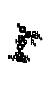 CC(C)(C)c1cc(NC(=O)Nc2ccc(B3OC(C)(C)C(C)(C)O3)cc2F)n(-c2ccc(F)cc2)n1